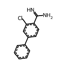 N=C(N)c1ccc(-c2ccccc2)cc1Cl